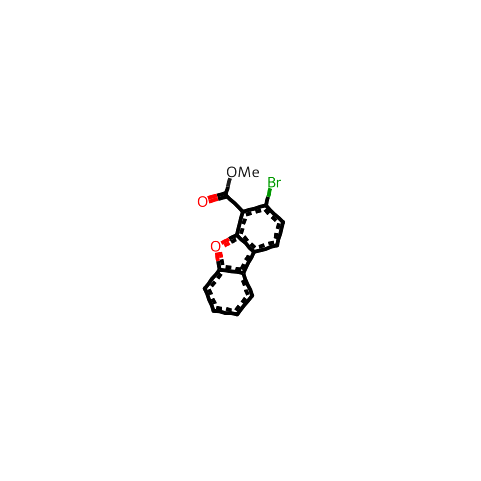 COC(=O)c1c(Br)ccc2c1oc1ccccc12